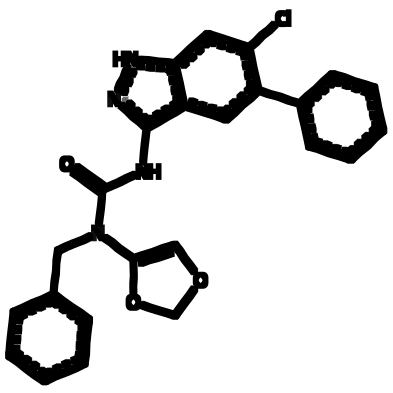 O=C(Nc1n[nH]c2cc(Cl)c(-c3ccccc3)cc12)N(Cc1ccccc1)C1=COCO1